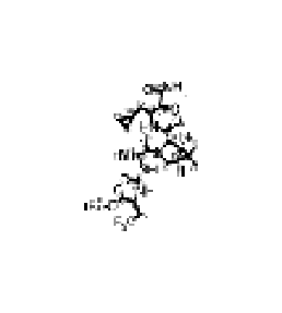 CC(C)(C)OC(=O)C(CC(F)(F)F)NC(=O)N[C@H](C(=O)N1C[C@H]2[C@@H]([C@H]1C(=O)NC(CC1CC1)C(=O)C(N)=O)C2(C)C)C(C)(C)C